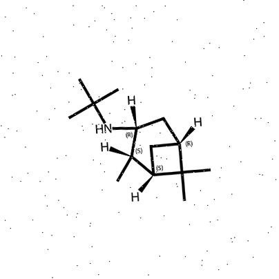 C[C@@H]1[C@H](NC(C)(C)C)C[C@H]2C[C@@H]1C2(C)C